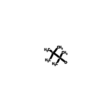 C[Si](C)(C)[Si](C)(C)[O]